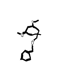 COC1=CC(C)(COCc2ccccc2)C=C(OC)C1